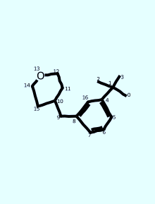 CC(C)(C)c1cccc(CC2CCOCC2)c1